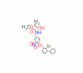 COC(=O)C(NCc1ccc(OCc2cccc(-c3ccccc3)c2Br)c([N+](=O)[O-])c1)C(C)O